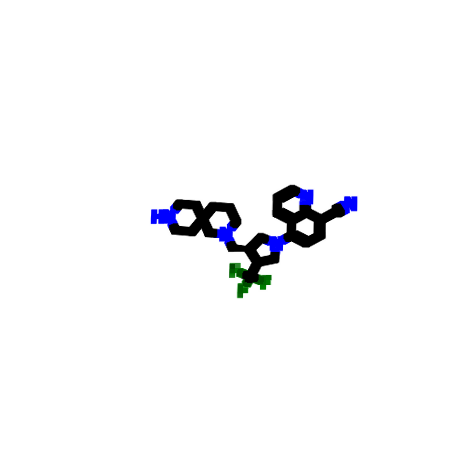 N#Cc1ccc(N2CC(C(F)(F)F)[C@@H](CN3CCCC4(CCNCC4)C3)C2)c2cccnc12